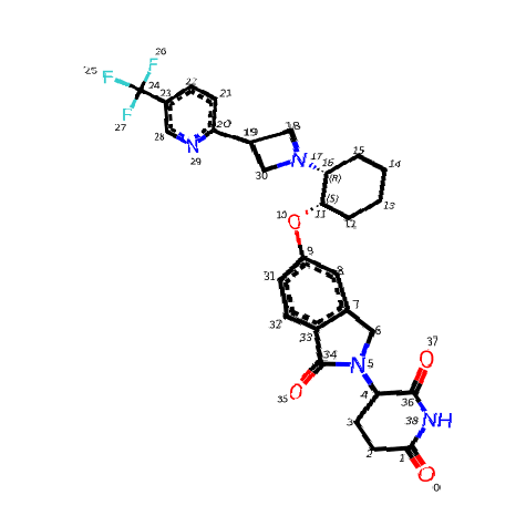 O=C1CCC(N2Cc3cc(O[C@H]4CCCC[C@H]4N4CC(c5ccc(C(F)(F)F)cn5)C4)ccc3C2=O)C(=O)N1